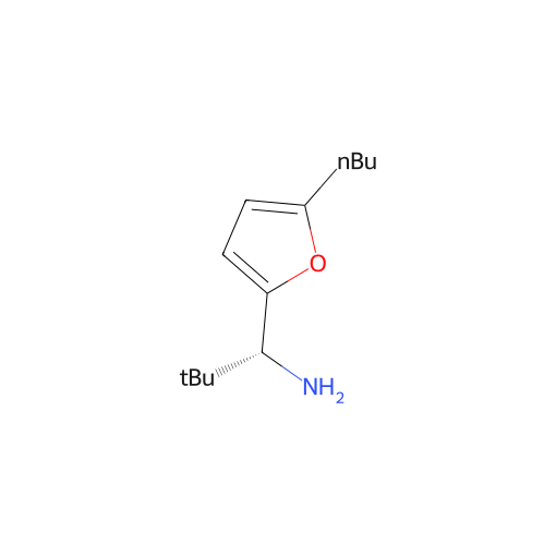 CCCCc1ccc([C@H](N)C(C)(C)C)o1